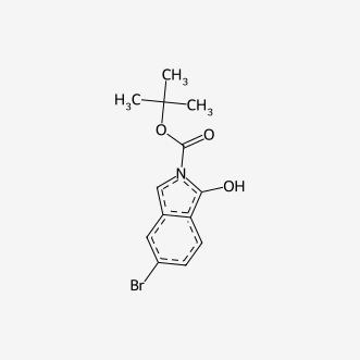 CC(C)(C)OC(=O)n1cc2cc(Br)ccc2c1O